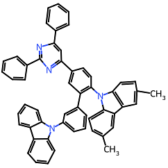 Cc1ccc2c(c1)c1cc(C)ccc1n2-c1ccc(-c2cc(-c3ccccc3)nc(-c3ccccc3)n2)cc1-c1cccc(-n2c3ccccc3c3ccccc32)c1